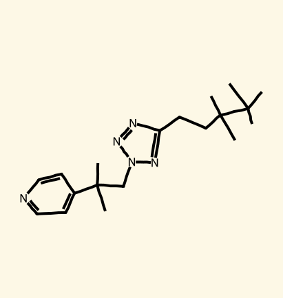 CC(C)(Cn1nnc(CCC(C)(C)C(C)(C)C)n1)c1ccncc1